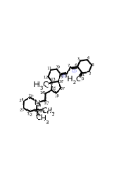 C=C1CCCC/C1=C/C=C1\CCCC2(C)C(CCN3CCCCC3(C)C)CCC12